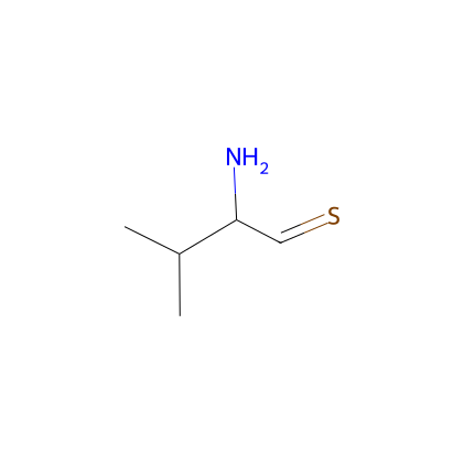 CC(C)C(N)C=S